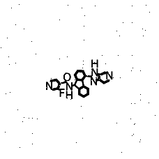 O=C(NC1c2ccccc2-c2c(-c3nc4ccncc4[nH]3)cccc21)c1ccncc1F